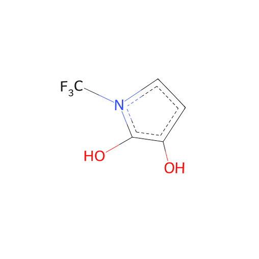 Oc1ccn(C(F)(F)F)c1O